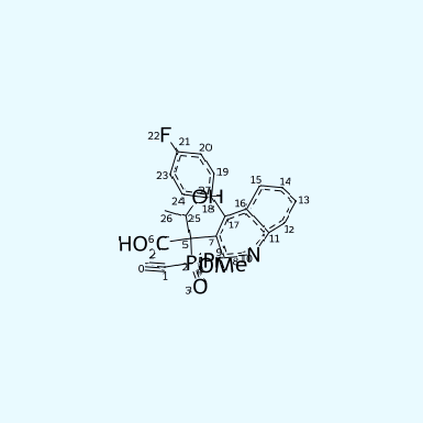 C#CP(=O)(OC)C(C(=O)O)(c1c(C(C)C)nc2ccccc2c1-c1ccc(F)cc1)C(C)O